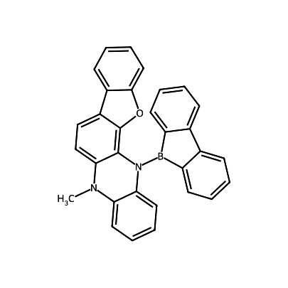 CN1c2ccccc2N(B2c3ccccc3-c3ccccc32)c2c1ccc1c2oc2ccccc21